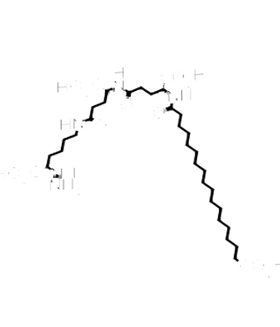 NN[C@@H](CCCCNC(=O)CC[C@H](NC(=O)CC[C@H](NC(=O)CCCCCCCCCCCCCCCCC(=O)O)C(=O)O)C(=O)O)C(=O)O